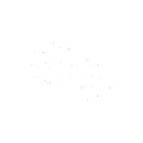 O=C(OC[C@H]1O[C@H](O[C@]2(CO)O[C@H](CO)[C@@H](O)[C@@H]2O)[C@H](O)[C@@H](O)[C@@H]1O)OC[C@H]1O[C@H](O[C@]2(CO)O[C@H](CO)[C@@H](O)[C@@H]2O)[C@H](O)[C@@H](O)[C@@H]1O